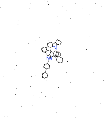 c1ccc(-c2ccc(-c3nc4c(c(-c5cccc6ccccc56)n3)C3(c5ccccc5-4)c4ccccc4-n4c5ccccc5c5cccc3c54)cc2)cc1